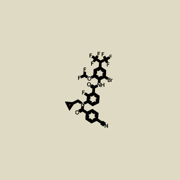 N#Cc1ccc(C(=O)N(CC2CC2)c2cccc(C(=O)Nc3c(Br)cc(C(C(F)(F)F)C(F)(F)F)cc3OC(F)F)c2F)cc1